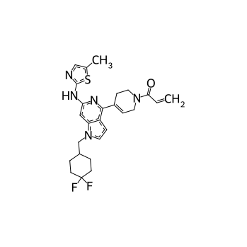 C=CC(=O)N1CC=C(c2nc(Nc3ncc(C)s3)cc3c2ccn3CC2CCC(F)(F)CC2)CC1